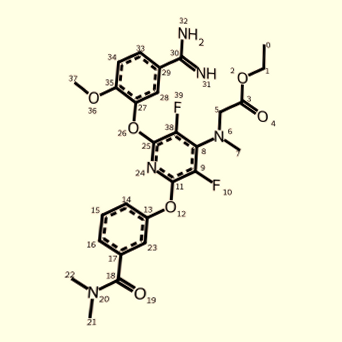 CCOC(=O)CN(C)c1c(F)c(Oc2cccc(C(=O)N(C)C)c2)nc(Oc2cc(C(=N)N)ccc2OC)c1F